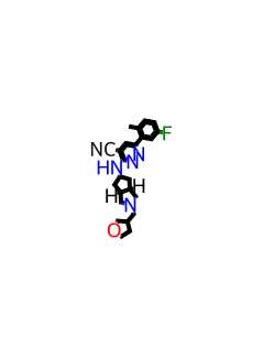 Cc1ccc(F)cc1-c1cc(C#N)c(NC2C[C@@H]3CN(CC4CCOC4)C[C@@H]3C2)nn1